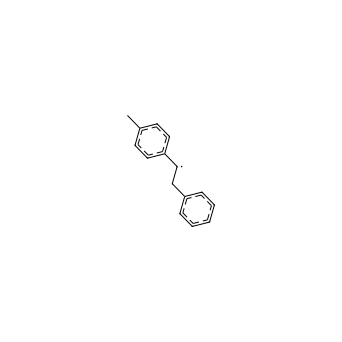 Cc1ccc([CH]Cc2ccccc2)cc1